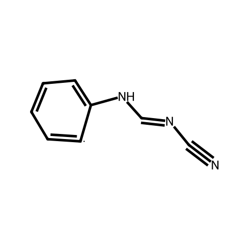 N#C/N=C/Nc1[c]cccc1